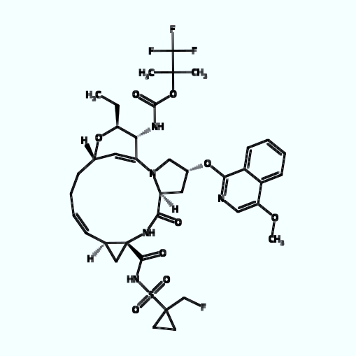 CC[C@@H]1O[C@@H]2C=C([C@H]1NC(=O)OC(C)(C)C(F)(F)F)N1C[C@H](Oc3ncc(OC)c4ccccc34)C[C@H]1C(=O)N[C@]1(C(=O)NS(=O)(=O)C3(CF)CC3)C[C@H]1/C=C\CC2